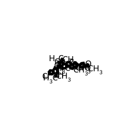 COC(=O)c1ccc(C2=CC[C@@]3(C)C(CC[C@]4(C)C3CCC3C5=C(C(C)C)C(=O)C[C@]5(NC(=O)N(CCN(C)C)Cc5ccc(Cl)cc5)CC[C@]34C)C2(C)C)cc1